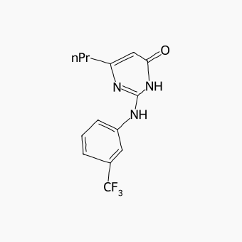 CCCc1cc(=O)[nH]c(Nc2cccc(C(F)(F)F)c2)n1